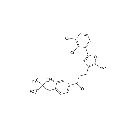 CC(C)c1oc(-c2cccc(Cl)c2Cl)nc1CCC(=O)c1ccc(OC(C)(C)C(=O)O)cc1